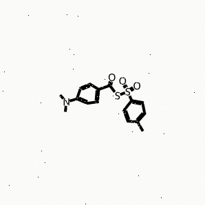 Cc1ccc(S(=O)(=O)SC(=O)c2ccc(N(C)C)cc2)cc1